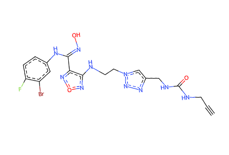 C#CCNC(=O)NCc1cn(CCNc2nonc2/C(=N/O)Nc2ccc(F)c(Br)c2)nn1